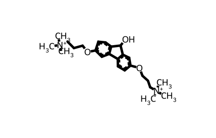 C[N+](C)(C)CCCOc1ccc2c(c1)-c1ccc(OCCC[N+](C)(C)C)cc1C2O